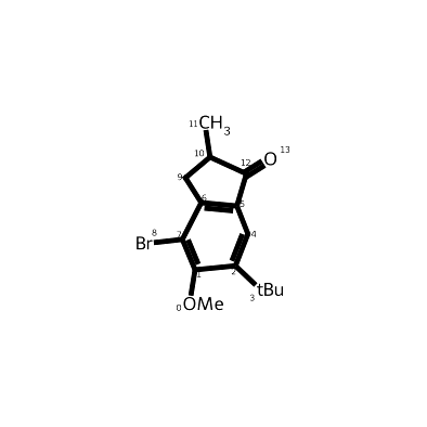 COc1c(C(C)(C)C)cc2c(c1Br)CC(C)C2=O